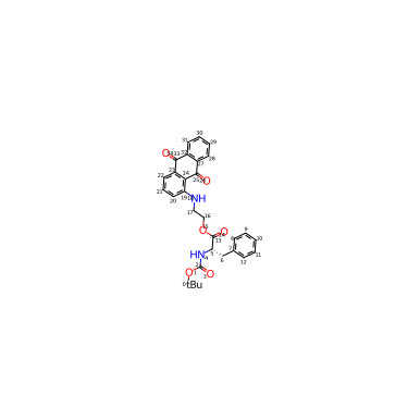 CC(C)(C)OC(=O)N[C@@H](Cc1ccccc1)C(=O)OCCNc1cccc2c1C(=O)c1ccccc1C2=O